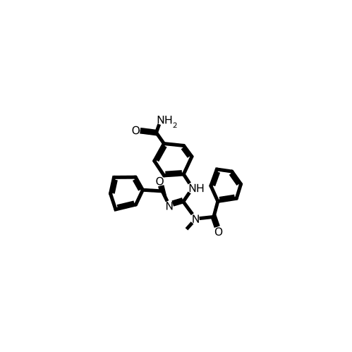 CN(C(=O)c1ccccc1)/C(=N/C(=O)c1ccccc1)Nc1ccc(C(N)=O)cc1